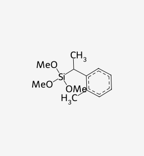 CO[Si](OC)(OC)C(C)c1ccccc1C